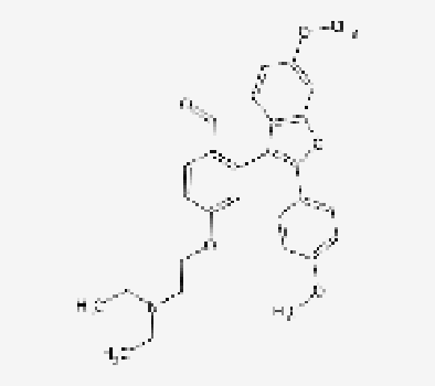 CCN(CC)CCOc1ccc(C=O)c(-c2c(-c3ccc(OC)cc3)oc3cc(OC)ccc23)c1